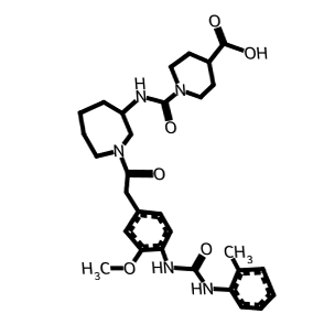 COc1cc(CC(=O)N2CCCCC(NC(=O)N3CCC(C(=O)O)CC3)C2)ccc1NC(=O)Nc1ccccc1C